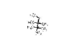 CSC(C)(C)C(C)(C)N